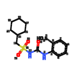 O=C(Nc1ccccc1S(=O)(=O)O)NS(=O)(=O)CC1CCCCC1